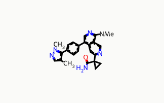 CNc1ncc(-c2ccc(-c3c(C)cnn3C)cc2)c2cc(C3(C(N)=O)CC3)ncc12